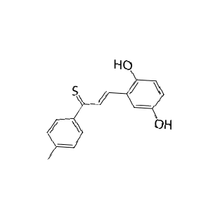 Cc1ccc(C(=S)C=Cc2cc(O)ccc2O)cc1